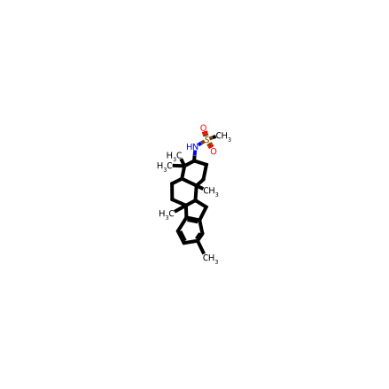 Cc1ccc2c(c1)CC1C2(C)CCC2C(C)(C)C(NS(C)(=O)=O)CCC12C